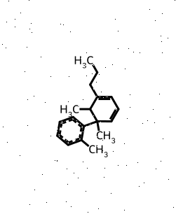 CCCC1=CC=CC(C)(c2ccccc2C)C1C